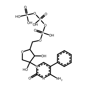 Nc1nc(=O)n(C2(O)COC(COP(=O)(O)OP(=O)(O)OP(=O)(O)O)C2O)cc1-c1ccccc1